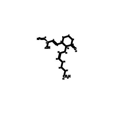 CCCCC[C@@H](O)/C=C/C1CCCC(=O)N1C/C=C\CCCC(=O)O